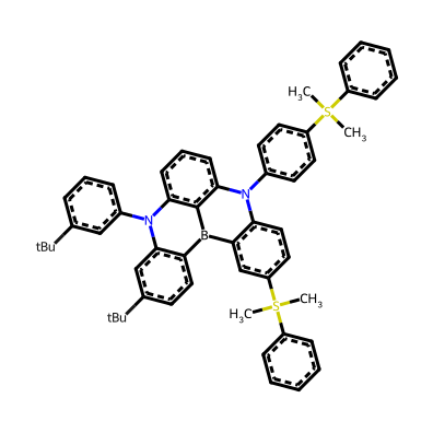 CC(C)(C)c1cccc(N2c3cc(C(C)(C)C)ccc3B3c4cc(S(C)(C)c5ccccc5)ccc4N(c4ccc(S(C)(C)c5ccccc5)cc4)c4cccc2c43)c1